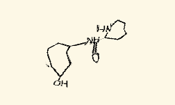 O=C(NC1CC[CH]C(O)C1)[C@H]1CCCCN1